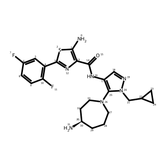 Nc1sc(-c2cc(F)ccc2F)nc1C(=O)Nc1cnn(CC2CC2)c1N1CCC[C@@H](N)CC1